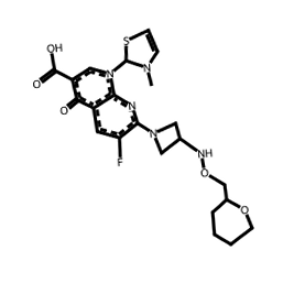 CN1C=CSC1n1cc(C(=O)O)c(=O)c2cc(F)c(N3CC(NOCC4CCCCO4)C3)nc21